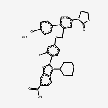 Cl.O=C(O)c1ccc2c(c1)nc(-c1ccc(OCc3cc(N4CCOC4=O)ccc3-c3ccc(Cl)cc3)cc1F)n2C1CCCCC1